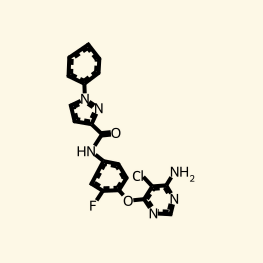 Nc1ncnc(Oc2ccc(NC(=O)c3ccn(-c4ccccc4)n3)cc2F)c1Cl